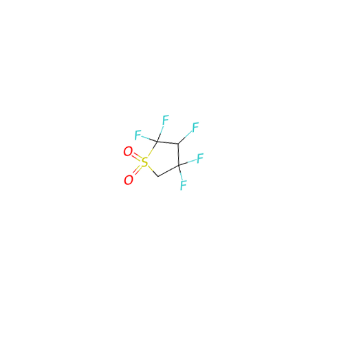 O=S1(=O)CC(F)(F)C(F)C1(F)F